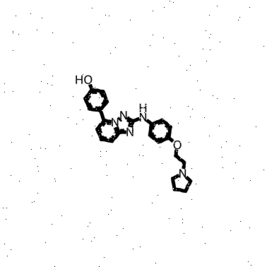 Oc1ccc(-c2cccc3nc(Nc4ccc(OCCN5CCCC5)cc4)nn23)cc1